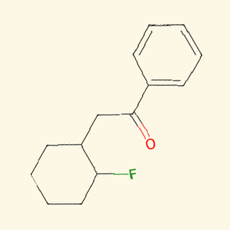 O=C(CC1CCCCC1F)c1ccccc1